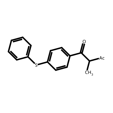 CC(=O)C(C)C(=O)c1ccc(Sc2ccccc2)cc1